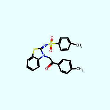 Cc1ccc(C(=O)Cn2/c(=N\S(=O)(=O)c3ccc(C)cc3)sc3ccccc32)cc1